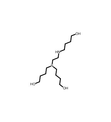 OCCCCNCCN(CCCCO)CCCCO